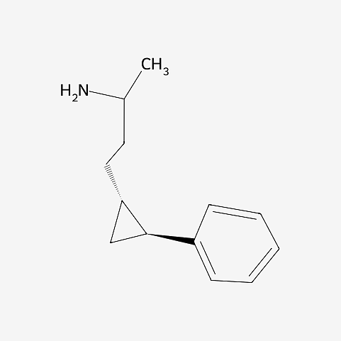 CC(N)CC[C@H]1C[C@@H]1c1ccccc1